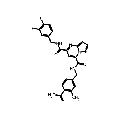 CC(=O)c1ccc(CNC(=O)c2cc(C(=O)NCc3ccc(F)c(F)c3)nc3ccnn23)cc1C